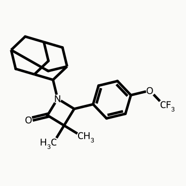 CC1(C)C(=O)N(C2C3CC4CC(C3)CC2C4)C1c1ccc(OC(F)(F)F)cc1